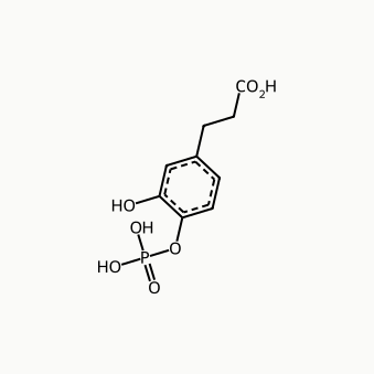 O=C(O)CCc1ccc(OP(=O)(O)O)c(O)c1